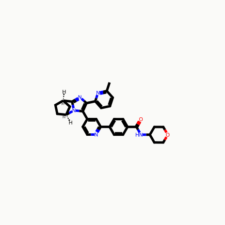 Cc1cccc(-c2nc3n(c2-c2ccnc(-c4ccc(C(=O)NC5CCOCC5)cc4)c2)[C@H]2CC[C@@H]3C2)n1